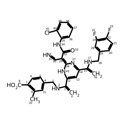 C=C(NCc1ccc(C(=O)O)c(C)c1)C1=CC(C(=C)NCc2ccc(F)c(F)c2)=N/C(=C(/C=N)C(=O)Nc2ccccc2Cl)N1